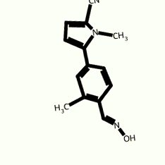 Cc1cc(-c2ccc(C#N)n2C)ccc1/C=N/O